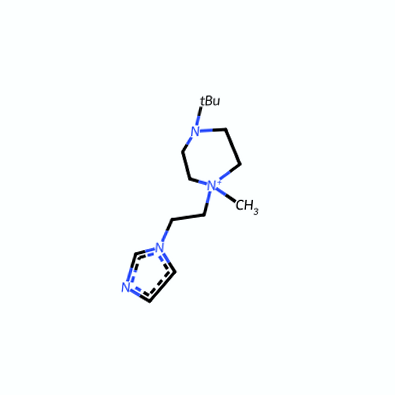 CC(C)(C)N1CC[N+](C)(CCn2ccnc2)CC1